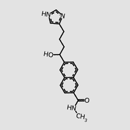 CNC(=O)c1ccc2cc(C(O)CCCc3c[nH]cn3)ccc2c1